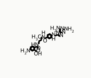 C[C@H](CCCNC(=O)c1ccc(N)cc1C(=O)O)NC(=O)c1ccc(NCc2cnc3nc(N)nc(N)c3n2)cc1